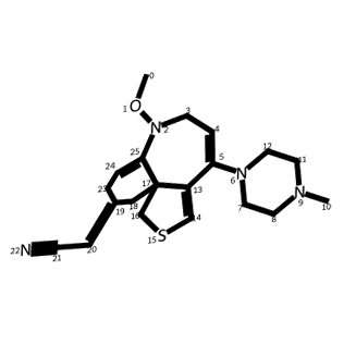 CON1CC=C(N2CCN(C)CC2)C2=CSCC23CC(=CC#N)CC=C13